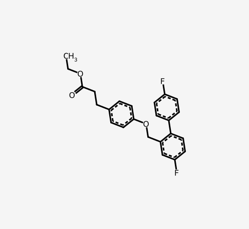 CCOC(=O)CCc1ccc(OCc2cc(F)ccc2-c2ccc(F)cc2)cc1